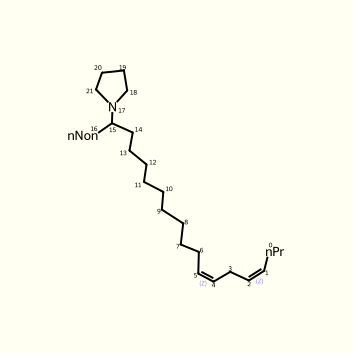 CCC/C=C\C/C=C\CCCCCCCCCC(CCCCCCCCC)N1CCCC1